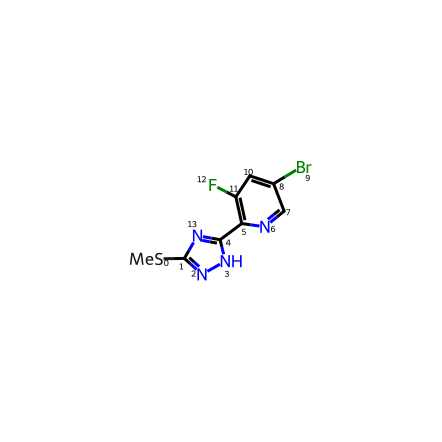 CSc1n[nH]c(-c2ncc(Br)cc2F)n1